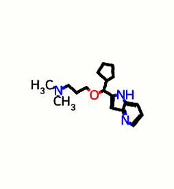 CN(C)CCCOC(c1cc2ncccc2[nH]1)C1CCCC1